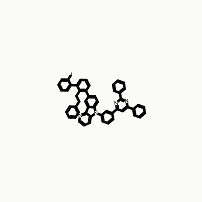 Ic1ccccc1-c1cccc(-c2ccc3c(c2)c2ncccc2n3-c2cccc(-c3cc(-c4ccccc4)nc(-c4ccccc4)n3)c2)c1CCc1ccccc1